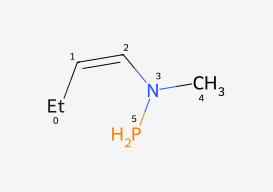 CC/C=C\N(C)P